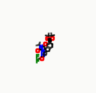 CC(C)N1C(=O)NC2(C1=O)c1cc(B3OC(C)(C)C(C)(C)O3)ccc1CC21CCC(OC(F)F)CC1